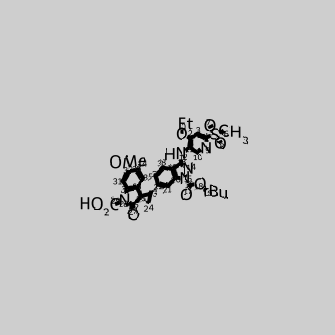 CCOc1cc(S(C)(=O)=O)ncc1Nc1nn(C(=O)OC(C)(C)C)c2cc([C@@H]3C[C@@]34C(=O)N(C(=O)O)c3ccc(OC)cc34)ccc12